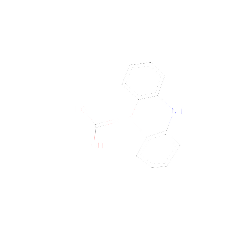 O=C(O)O.c1ccc2c(c1)Nc1ccccc1O2